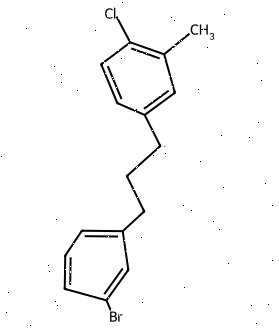 Cc1cc([CH]CCc2cccc(Br)c2)ccc1Cl